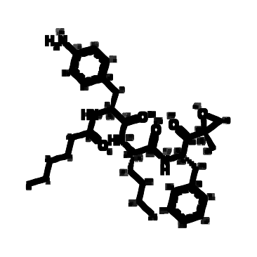 CCCCCC(=O)N[C@@H](Cc1ccc(N)cc1)C(=O)N[C@@H](CCCC)C(=O)N[C@@H](Cc1ccccc1)C(=O)[C@@]1(C)CO1